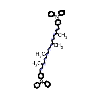 CC(/C=C/C=C(C)/C=C/c1ccc(N(c2ccccc2)c2ccccc2)cc1)=C\C=C\C=C(C)\C=C\C=C(C)\C=C\c1ccc(N(c2ccccc2)c2ccccc2)cc1